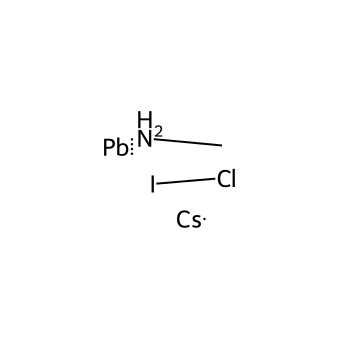 CN.ClI.[Cs].[Pb]